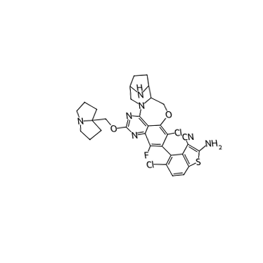 N#Cc1c(N)sc2ccc(Cl)c(-c3c(Cl)c4c5c(nc(OCC67CCCN6CCC7)nc5c3F)N3CC5CCC(N5)C3CO4)c12